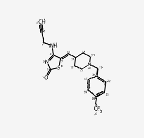 C#CCNC1=NC(=O)S/C1=C\C1CCN(Cc2ccc(C(F)(F)F)cc2)CC1